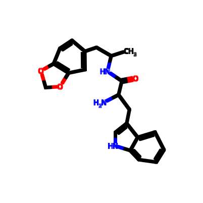 CC(Cc1ccc2c(c1)OCO2)NC(=O)C(N)Cc1c[nH]c2ccccc12